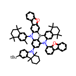 Cc1cc2c(cc1N1c3cc4c(cc3B3c5cc6c(cc5N(c5cccc7c5oc5ccccc57)c5cc(N7c8ccc(C(C)(C)C)cc8C8(C)CCCCC78C)cc1c53)C(C)(C)CCC6(C)C)oc1ccccc14)C(C)(C)CCC2(C)C